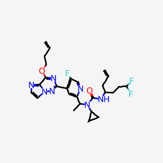 C=CCCOc1nc(-c2cc(C(C)N(C(=O)NC(CC=C)CCC(F)F)C3CC3)ncc2F)nn2ccnc12